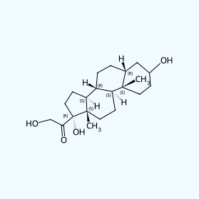 C[C@]12CCC(O)C[C@H]1CC[C@@H]1[C@@H]2CC[C@@]2(C)[C@H]1CC[C@]2(O)C(=O)CO